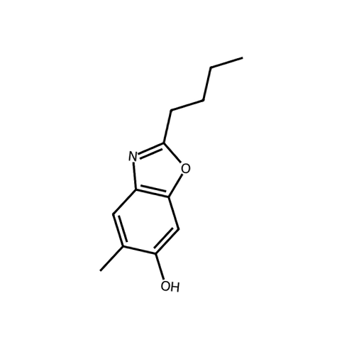 CCCCc1nc2cc(C)c(O)cc2o1